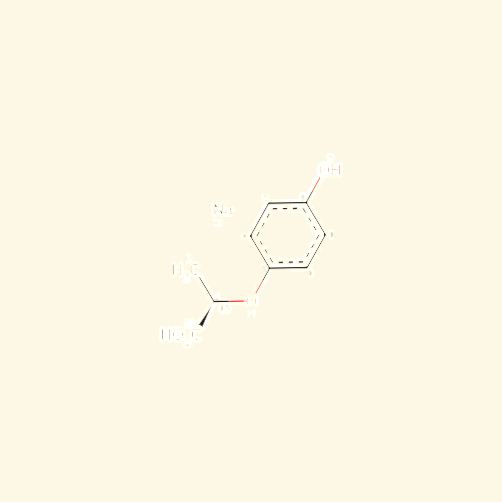 C[C@@H](Oc1ccc(O)cc1)C(=O)O.[Na]